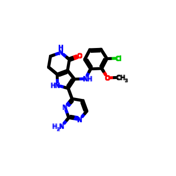 COc1c(Cl)cccc1Nc1c(-c2ccnc(N)n2)[nH]c2c1C(=O)NCC2